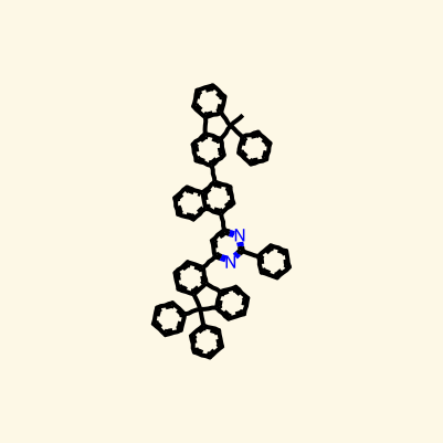 CC1(c2ccccc2)c2ccccc2-c2ccc(-c3ccc(-c4cc(-c5cccc6c5-c5ccccc5C6(c5ccccc5)c5ccccc5)nc(-c5ccccc5)n4)c4ccccc34)cc21